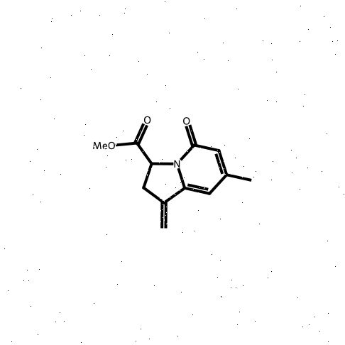 C=C1CC(C(=O)OC)n2c1cc(C)cc2=O